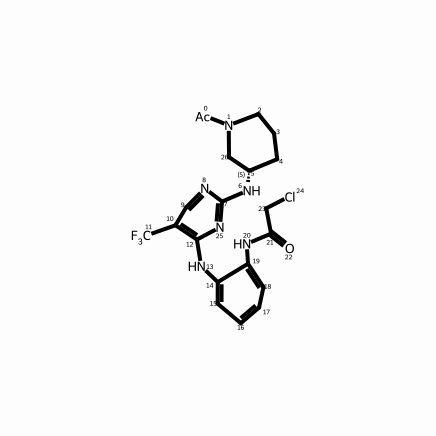 CC(=O)N1CCC[C@H](Nc2ncc(C(F)(F)F)c(Nc3ccccc3NC(=O)CCl)n2)C1